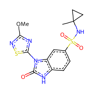 COc1nsc(-n2c(=O)[nH]c3ccc(S(=O)(=O)NC4(C)CC4)cc32)n1